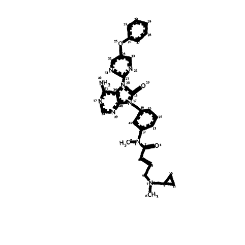 CN(C(=O)C=CCN(C)C1CC1)c1cccc(-n2c(=O)n(-c3ncc(Oc4ccccc4)cn3)c3c(N)ncnc32)c1